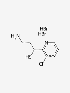 Br.Br.NCCC(S)c1ncccc1Cl